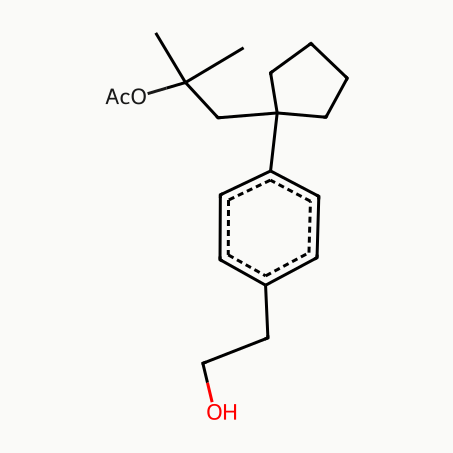 CC(=O)OC(C)(C)CC1(c2ccc(CCO)cc2)CCCC1